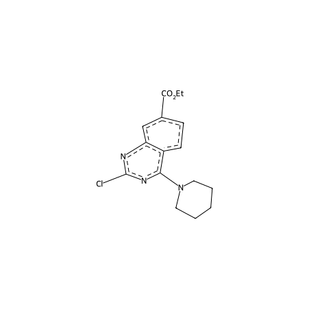 CCOC(=O)c1ccc2c(N3CCCCC3)nc(Cl)nc2c1